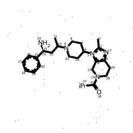 Cc1nc2c(n1C1CCN(C(C)C[C@H](N)c3ccccc3)CC1)CN(C(=O)C(C)C)CC2